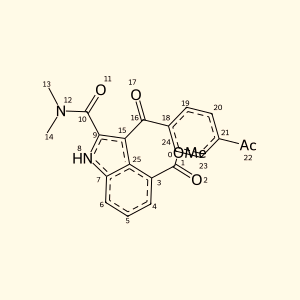 COC(=O)c1cccc2[nH]c(C(=O)N(C)C)c(C(=O)c3ccc(C(C)=O)cc3)c12